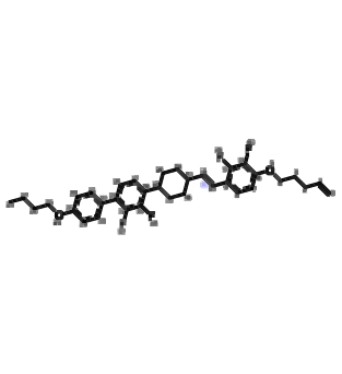 C=CCCCOc1ccc(/C=C/C2CCC(c3ccc(-c4ccc(OCCCC)cc4)c(F)c3F)CC2)c(F)c1F